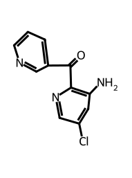 Nc1cc(Cl)cnc1C(=O)c1cccnc1